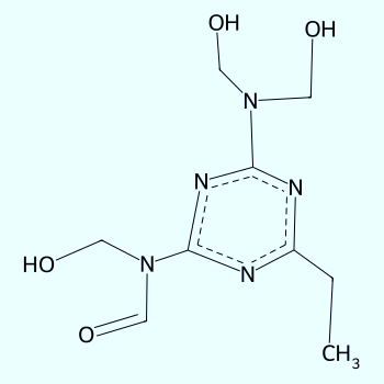 CCc1nc(N(C=O)CO)nc(N(CO)CO)n1